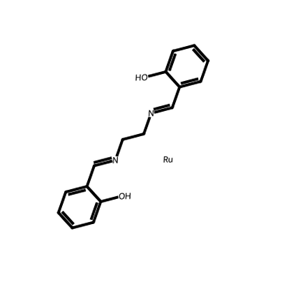 Oc1ccccc1/C=N/CC/N=C/c1ccccc1O.[Ru]